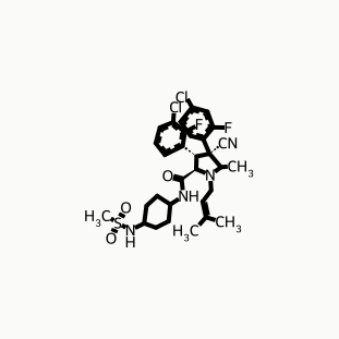 CC(C)=CCN1C(C)[C@](C#N)(c2ccc(Cl)cc2F)[C@@H](c2cccc(Cl)c2F)[C@@H]1C(=O)NC1CCC(NS(C)(=O)=O)CC1